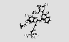 CN(C)CC(C(=O)OC(C)(C)C)c1nn(Cc2nc3cc(C#N)c(OCC4CC4)cc3n2COCC[Si](C)(C)C)c2ccccc2c1=O